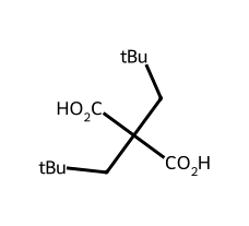 CC(C)(C)CC(CC(C)(C)C)(C(=O)O)C(=O)O